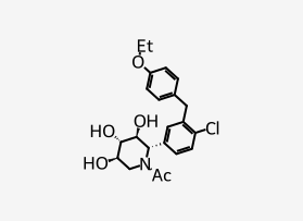 CCOc1ccc(Cc2cc([C@H]3[C@H](O)[C@@H](O)[C@H](O)CN3C(C)=O)ccc2Cl)cc1